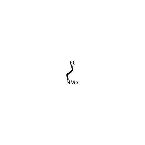 CC[CH]CNC